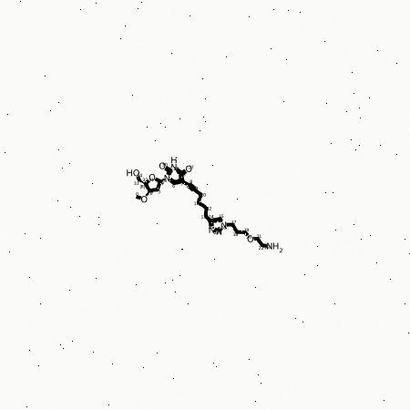 CO[C@@H]1C[C@H](n2cc(C#CCCCCc3cn(CCCOCCN)nn3)c(=O)[nH]c2=O)O[C@@H]1CO